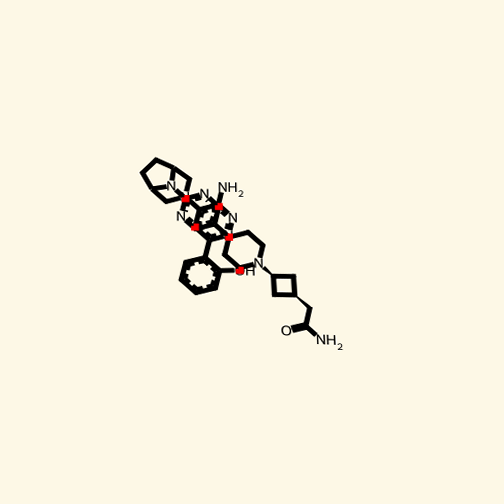 NC(=O)C[C@H]1C[C@@H](N2CCC(c3cnc(N4C5CCC4CN(c4cc(-c6ccccc6O)nnc4N)C5)nc3)CC2)C1